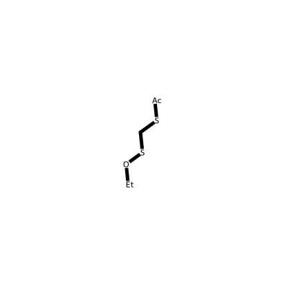 CCOSCSC(C)=O